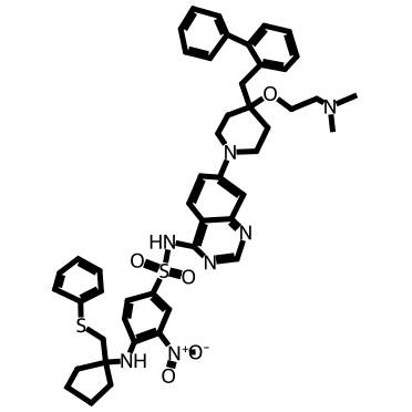 CN(C)CCOC1(Cc2ccccc2-c2ccccc2)CCN(c2ccc3c(NS(=O)(=O)c4ccc(NC5(CSc6ccccc6)CCCC5)c([N+](=O)[O-])c4)ncnc3c2)CC1